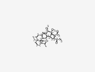 CCC12C=CCN(C(C)=O)[C@H]1c1cc3c(nc1C=C2)c(OC)c(OC)c1c3cc(C(=O)SC)n1C(C)=O